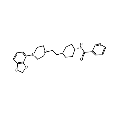 O=C(N[C@H]1CC[C@H](CCN2CCN(c3cccc4c3OCO4)CC2)CC1)c1cccnc1